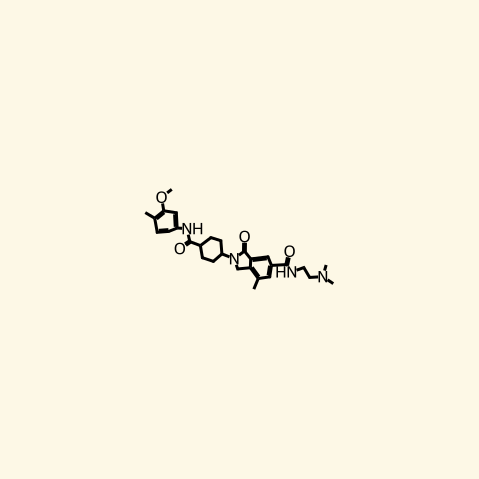 COc1cc(NC(=O)C2CCC(N3Cc4c(C)cc(C(=O)NCCN(C)C)cc4C3=O)CC2)ccc1C